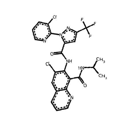 CC(C)NC(=O)c1c(NC(=O)c2cc(C(F)(F)F)nn2-c2ncccc2Cl)c(Cl)cc2cccnc12